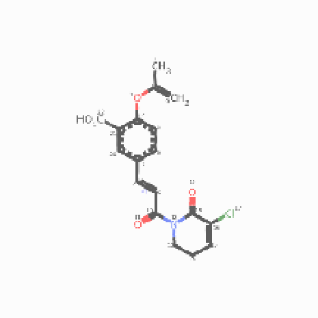 C=C(C)Oc1ccc(/C=C/C(=O)N2CCC=C(Cl)C2=O)cc1C(=O)O